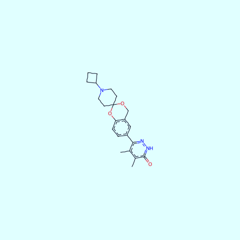 Cc1c(-c2ccc3c(c2)COC2(CCN(C4CCC4)CC2)O3)n[nH]c(=O)c1C